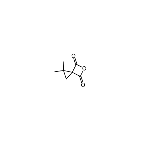 CC1(C)CC12C(=O)OC2=O